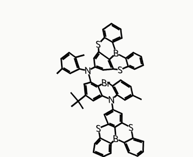 Cc1ccc(C)c(N(c2cc3c4c(c2)Sc2ccccc2B4c2ccccc2S3)c2cc(C(C)(C)C)cc(N(c3cc4c5c(c3)Sc3ccccc3B5c3ccccc3S4)c3cc(C)ccc3C)c2Br)c1